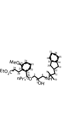 CCC[C@@H](OC[C@H](O)CNC(C)(C)CC1Cc2ccccc2C1)c1cccc(OC)c1CCC(=O)OCC